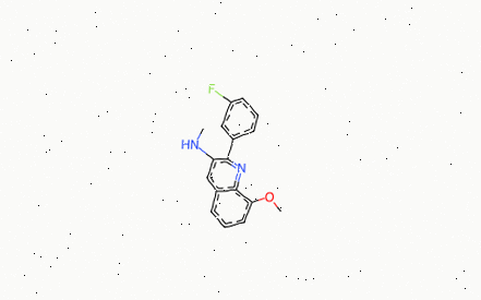 CNc1cc2cccc(OC)c2nc1-c1cccc(F)c1